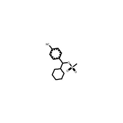 CS(=O)(=O)OC(c1ccc(C#N)cc1)C1CCCCC1